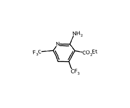 CCOC(=O)c1c(C(F)(F)F)cc(C(F)(F)F)nc1N